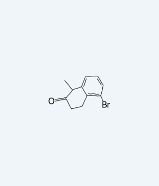 CC1C(=O)CCc2c(Br)cccc21